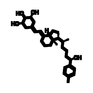 Cc1ccc([C@@H](O)CCC[C@@H](C)[C@H]2CC[C@H]3/C(=C/C=C4C[C@@H](O)C(O)[C@H](O)C4)CCC[C@]23C)cc1